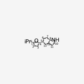 CC(C)c1ccc(-c2ccc3[nH]ccc3c2)o1